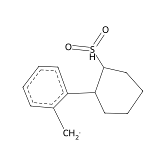 [CH2]c1ccccc1C1CCCCC1[SH](=O)=O